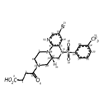 O=C(O)CCC(=O)N1CCN2c3ncc(Br)cc3N(S(=O)(=O)c3cccc(C(F)(F)F)c3)C[C@@H]2C1